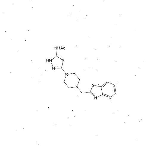 CC(=O)NC1NN=C(N2CCN(Cc3nc4ncccc4s3)CC2)S1